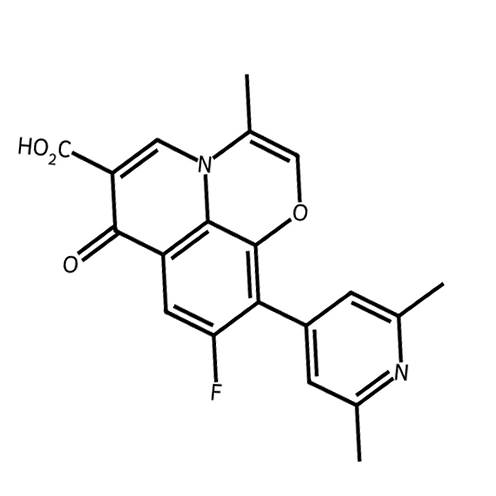 CC1=COc2c(-c3cc(C)nc(C)c3)c(F)cc3c(=O)c(C(=O)O)cn1c23